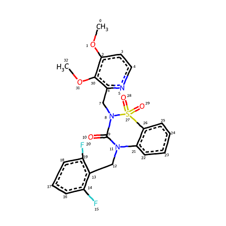 COc1ccnc(CN2C(=O)N(Cc3c(F)cccc3F)c3ccccc3S2(=O)=O)c1OC